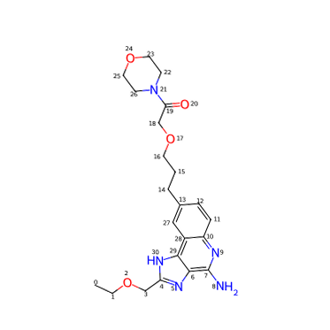 CCOCc1nc2c(N)nc3ccc(CCCOCC(=O)N4CCOCC4)cc3c2[nH]1